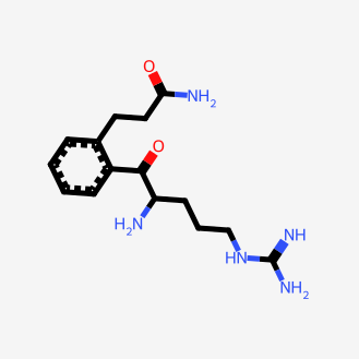 N=C(N)NCCCC(N)C(=O)c1ccccc1CCC(N)=O